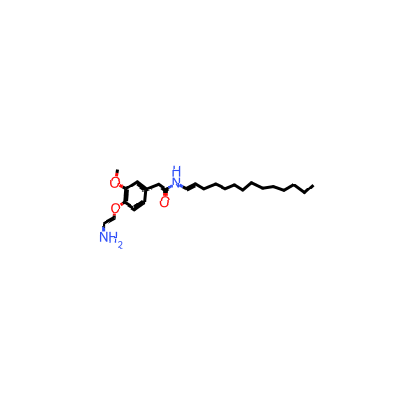 CCCCCCCCCCCCC=CNC(=O)Cc1ccc(OCCN)c(OC)c1